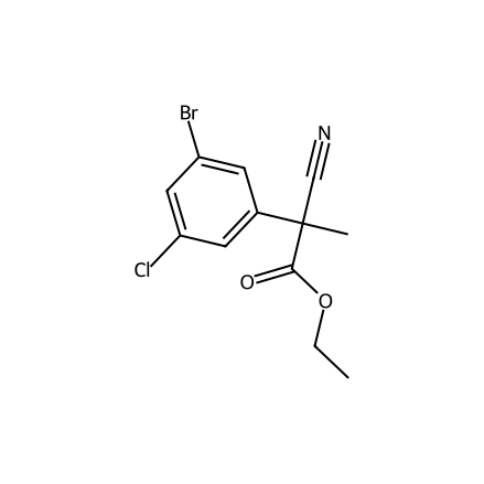 CCOC(=O)C(C)(C#N)c1cc(Cl)cc(Br)c1